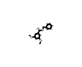 COc1cc(OC)cc(C(=O)OCc2ccccc2)c1